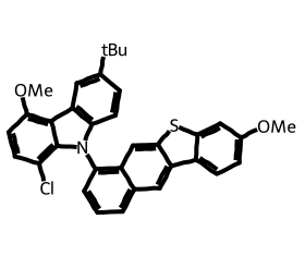 COc1ccc2c(c1)sc1cc3c(-n4c5ccc(C(C)(C)C)cc5c5c(OC)ccc(Cl)c54)cccc3cc12